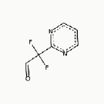 O=CC(F)(F)c1ncccn1